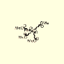 COC(=O)CCCCCN(C(=O)CCCC(=O)OC)[C@@H](CCCC(=O)OC)C(=O)NCCC(=O)OC